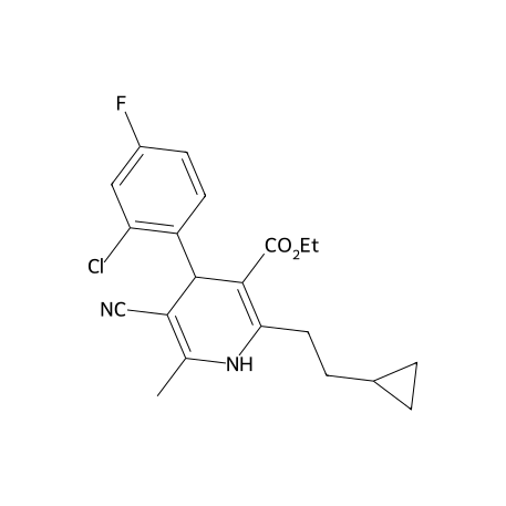 CCOC(=O)C1=C(CCC2CC2)NC(C)=C(C#N)C1c1ccc(F)cc1Cl